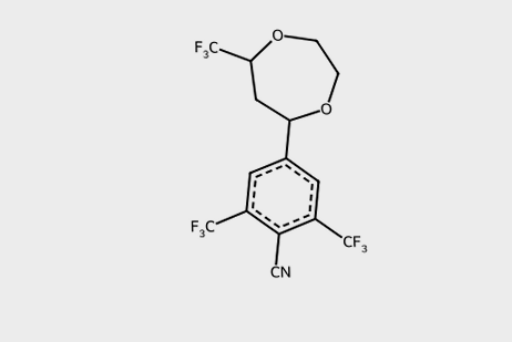 N#Cc1c(C(F)(F)F)cc(C2CC(C(F)(F)F)OCCO2)cc1C(F)(F)F